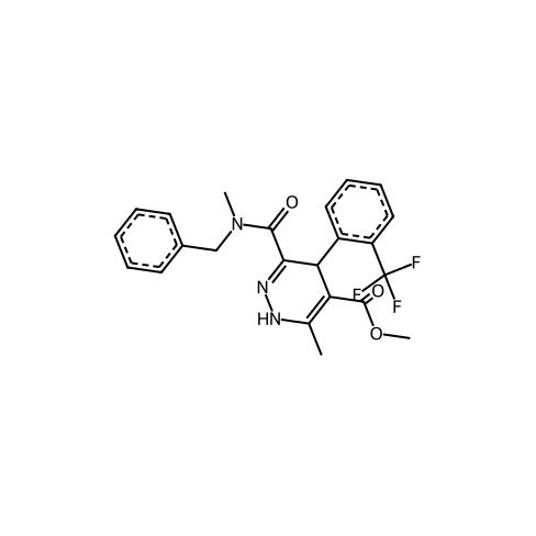 COC(=O)C1=C(C)NN=C(C(=O)N(C)Cc2ccccc2)C1c1ccccc1C(F)(F)F